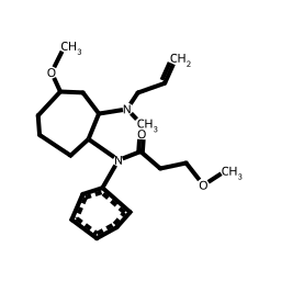 C=CCN(C)C1CC(OC)CCCC1N(C(=O)CCOC)c1ccccc1